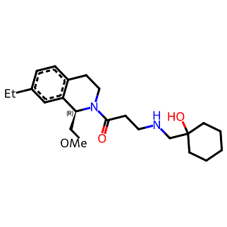 CCc1ccc2c(c1)[C@H](COC)N(C(=O)CCNCC1(O)CCCCC1)CC2